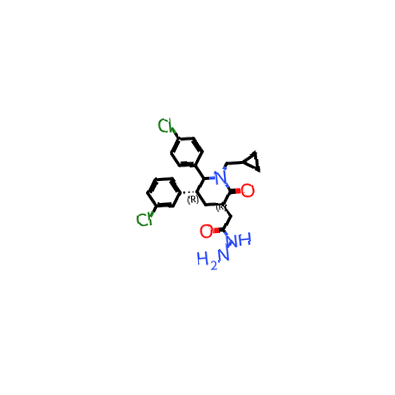 NNC(=O)C[C@H]1C[C@H](c2cccc(Cl)c2)C(c2ccc(Cl)cc2)N(CC2CC2)C1=O